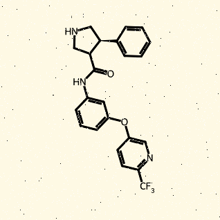 O=C(Nc1cccc(Oc2ccc(C(F)(F)F)nc2)c1)C1CNC[C@H]1c1ccccc1